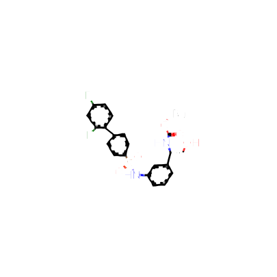 CC(C)(C)OC(=O)N[C@H](CO)c1cccc(NS(=O)(=O)c2ccc(-c3ccc(F)cc3F)cc2)c1